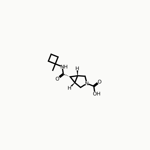 CC1(NC(=O)[C@@H]2[C@@H]3CN(C(=O)O)C[C@@H]32)CCC1